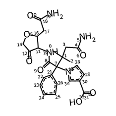 CC(C)(CC(N)=O)C(C(=O)NC1C(=O)COC1CC(N)=O)(c1ccccc1)n1ccc(C(=O)O)c1